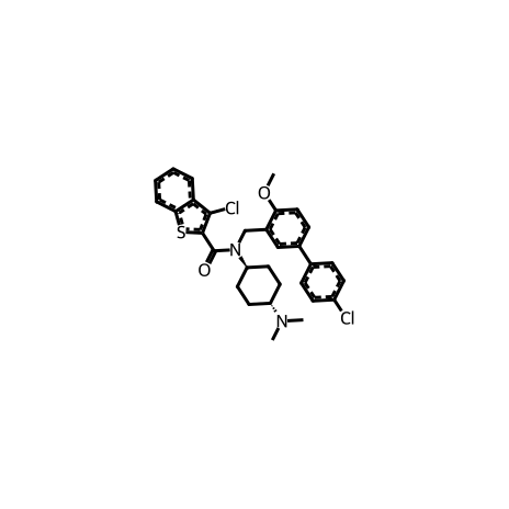 COc1ccc(-c2ccc(Cl)cc2)cc1CN(C(=O)c1sc2ccccc2c1Cl)[C@H]1CC[C@H](N(C)C)CC1